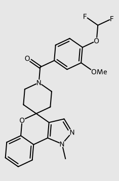 COc1cc(C(=O)N2CCC3(CC2)Oc2ccccc2-c2c3cnn2C)ccc1OC(F)F